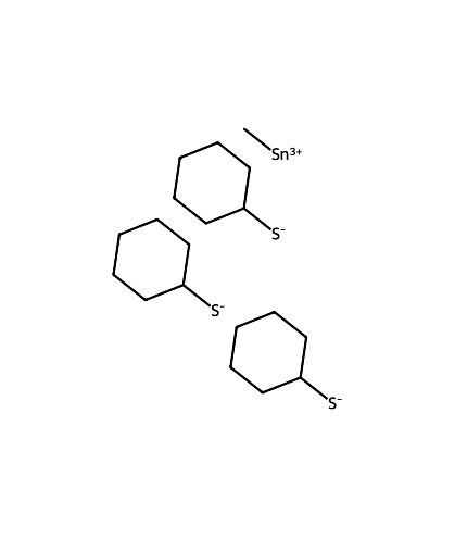 [CH3][Sn+3].[S-]C1CCCCC1.[S-]C1CCCCC1.[S-]C1CCCCC1